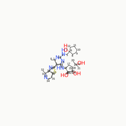 Cc1nc(NCC2(O)CCCCC2)nc(NC2C[C@H](C(C)(C)O)[C@@H](O)[C@H]2O)c1-c1nc2c(C)nccc2s1